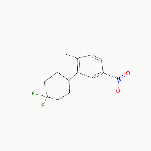 Cc1ccc([N+](=O)[O-])cc1C1CCC(F)(F)CC1